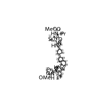 COC(=O)N[C@H](C(=O)N1C[Si](C)(C)CC1c1ncc(-c2ccc(-c3ccc4c(ccc5nc([C@@H]6CC(F)(F)CN6C(=O)[C@@H](NC(=O)OC)C(C)C)[nH]c54)c3)cc2)[nH]1)C(C)C